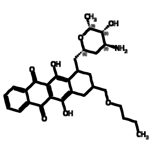 CCCCOCC1Cc2c(O)c3c(c(O)c2C(C[C@H]2C[C@H](N)[C@@H](O)[C@@H](C)O2)C1)C(=O)c1ccccc1C3=O